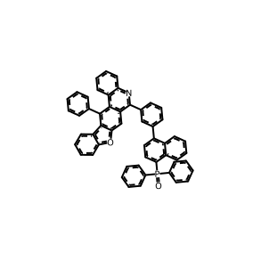 O=P(c1ccccc1)(c1ccccc1)c1ccc(-c2cccc(-c3nc4ccccc4c4c(-c5ccccc5)c5c(cc34)oc3ccccc35)c2)c2ccccc12